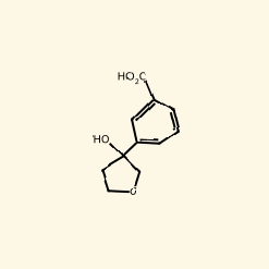 O=C(O)c1cccc(C2(O)CCOC2)c1